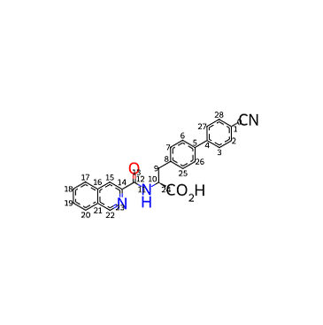 N#Cc1ccc(-c2ccc(C[C@H](NC(=O)c3cc4ccccc4cn3)C(=O)O)cc2)cc1